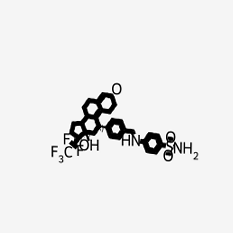 C[C@]12C[C@H](c3ccc(CNc4ccc(S(N)(=O)=O)cc4)cc3)C3=C4CCC(=O)C=C4CCC3C1CC[C@@]2(O)C(F)(F)C(F)(F)F